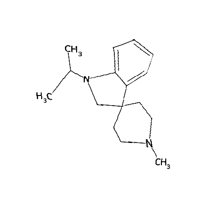 CC(C)N1CC2(CCN(C)CC2)c2ccccc21